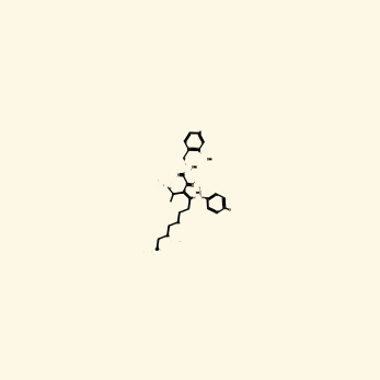 COc1cc(F)ccc1CN(C)C(=O)c1nn(-c2ccc(F)cc2)c(CCC(O)CC(O)CC(=O)[O-])c1C(C)C.[Na+]